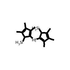 CC1=C(C)C([SiH3])[C]([Hf][C]2=C(C)C(C)=C(C)C2[SiH3])=C1C